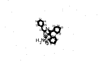 NS(=O)(=O)c1ccccc1-c1oc(Cc2ccccc2)nc1-c1ccccc1